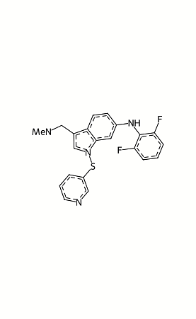 CNCc1cn(Sc2cccnc2)c2cc(Nc3c(F)cccc3F)ccc12